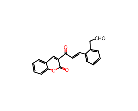 O=CCc1ccccc1/C=C/C(=O)c1cc2ccccc2oc1=O